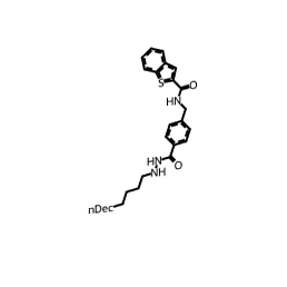 CCCCCCCCCCCCCCNNC(=O)c1ccc(CNC(=O)c2cc3ccccc3s2)cc1